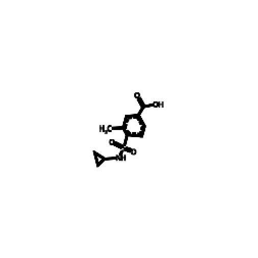 Cc1cc(C(=O)O)ccc1S(=O)(=O)NC1CC1